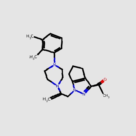 C=C(Cn1nc(C(C)=O)c2c1CCC2)N1CCN(c2cccc(C)c2C)CC1